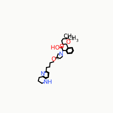 CC1(C)CCCC(c2ccccc2C(C(=O)O)N2CC[C@@H](OCCCCc3ccc4c(n3)CCCN4)C2)O1